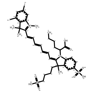 CCCCC(C(=O)O)N1\C(=C/C=C/C=C/C=C/C2=[N+](C)c3cc(I)cc(I)c3C2(C)C)C(C)(CCCCS(=O)(=O)O)c2cc(S(=O)(=O)O)ccc21